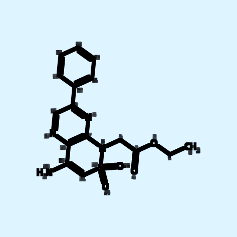 CCOC(=O)CN1c2nc(-c3ccccc3)cnc2C(N)=CS1(=O)=O